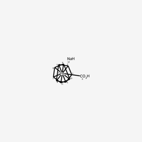 O=C(O)[C]12[CH]3[CH]4[CH]5[CH]1[Fe]45321678[CH]2[CH]1[CH]6[CH]7[CH]28.[NaH]